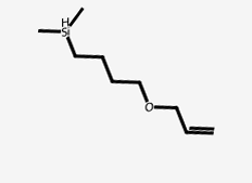 C=CCOCCCC[SiH](C)C